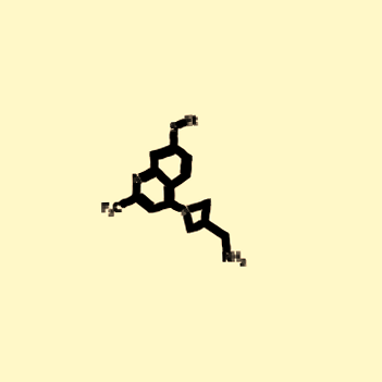 CCSc1ccc2c(N3CC(CN)C3)cc(C(F)(F)F)nc2c1